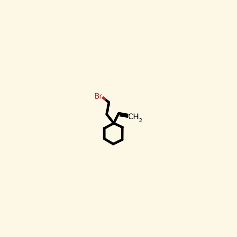 C=CC1(CCBr)CCCCC1